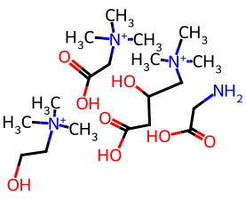 C[N+](C)(C)CC(=O)O.C[N+](C)(C)CC(O)CC(=O)O.C[N+](C)(C)CCO.NCC(=O)O